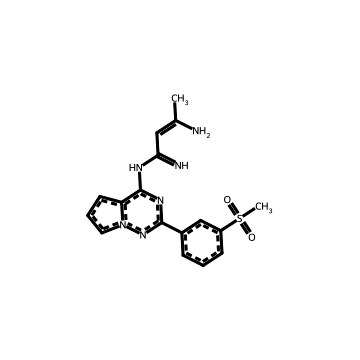 C/C(N)=C/C(=N)Nc1nc(-c2cccc(S(C)(=O)=O)c2)nn2cccc12